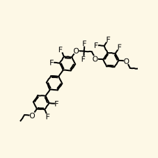 CCOc1ccc(-c2ccc(-c3ccc(OC(F)(F)COc4ccc(OCC)c(F)c4C(F)F)c(F)c3F)cc2)c(F)c1F